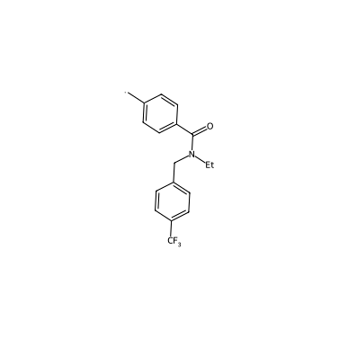 [CH2]c1ccc(C(=O)N(CC)Cc2ccc(C(F)(F)F)cc2)cc1